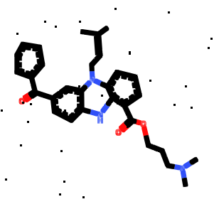 CC(C)=CCN1c2cc(C(=O)c3ccccc3)ccc2Nc2c(C(=O)OCCCN(C)C)cccc21